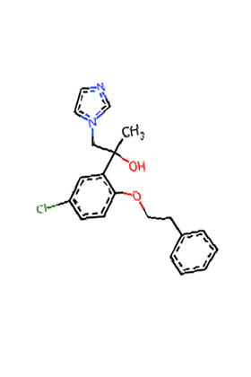 CC(O)(Cn1ccnc1)c1cc(Cl)ccc1OCCc1ccccc1